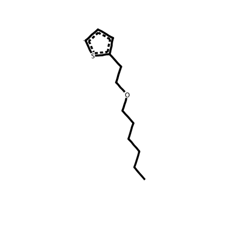 CCCCCCOCCc1cc[c]s1